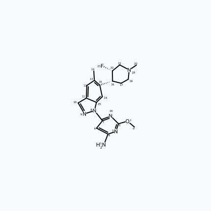 COc1nc(N)cc(-n2ncc3cc(C)c([C@H]4CCN(C)C[C@H]4F)cc32)n1